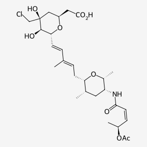 CC(=O)O[C@@H](C)/C=C\C(=O)N[C@@H]1C[C@H](C)[C@H](C/C=C(C)/C=C/[C@H]2O[C@H](CC(=O)O)C[C@@](O)(CCl)[C@@H]2O)O[C@@H]1C